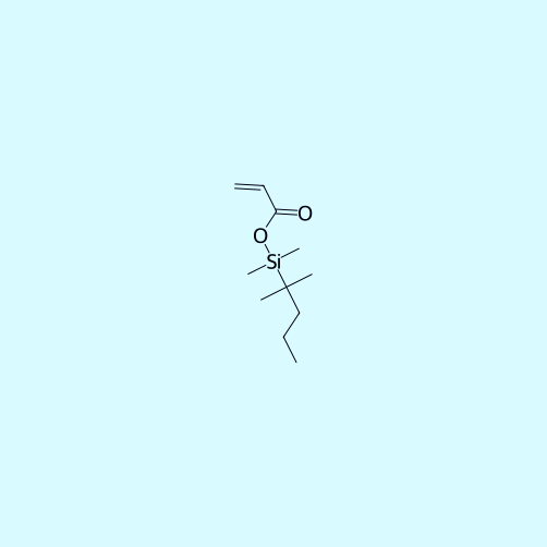 C=CC(=O)O[Si](C)(C)C(C)(C)CCC